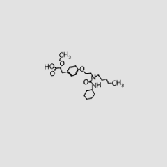 CCCCCN(CCOc1ccc(CC(OCC)C(=O)O)cc1)C(=O)NC1CCCCC1